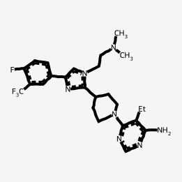 CCc1c(N)ncnc1N1CCC(c2nc(-c3ccc(F)c(C(F)(F)F)c3)cn2CCN(C)C)CC1